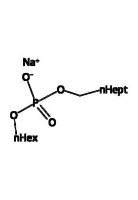 CCCCCCCCOP(=O)([O-])OCCCCCC.[Na+]